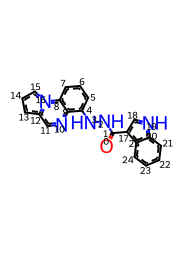 O=C(NNc1cccc2c1ncc1cccn12)c1c[nH]c2ccccc12